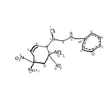 O=[N+]([O-])C1([N+](=O)[O-])C=CC(N(Cl)CNc2ccccc2)C([N+](=O)[O-])([N+](=O)[O-])C1